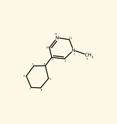 CN1C=C(C2CCCCC2)C=NC1